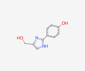 OCc1c[nH]c(-c2ccc(O)cc2)n1